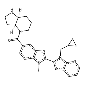 Cn1c(-c2cc3cccnc3n2CC2CC2)nc2cc(C(=O)N3CCC[C@@H]4NCC[C@@H]43)ccc21